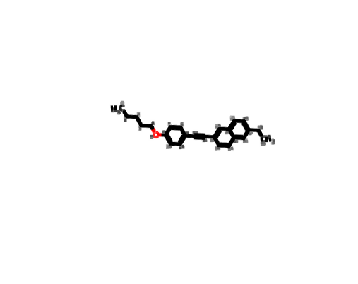 CCCCCOc1ccc(C#Cc2ccc3cc(CC)ccc3c2)cc1